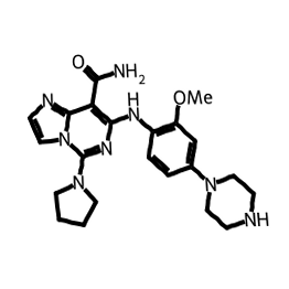 COc1cc(N2CCNCC2)ccc1Nc1nc(N2CCCC2)n2ccnc2c1C(N)=O